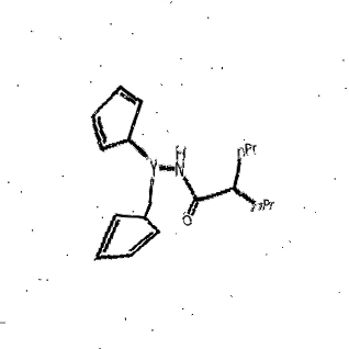 CCCC(CCC)C(=O)[NH][Y]([CH]1C=CC=C1)[CH]1C=CC=C1